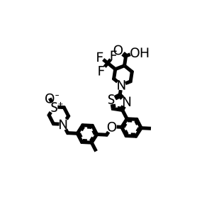 Cc1ccc(OCc2ccc(CN3CC[S+]([O-])CC3)cc2C)c(-c2csc(N3CCC(C(=O)O)C(C(F)(F)F)C3)n2)c1